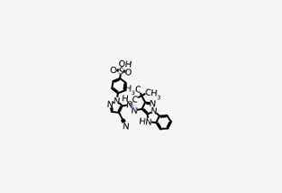 CC(C)(C)c1nn2c([nH]c3ccccc32)c1/N=N/c1c(C#N)cnn1-c1ccc(S(=O)(=O)O)cc1